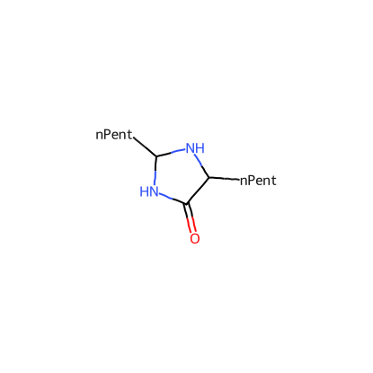 CCCCCC1NC(=O)C(CCCCC)N1